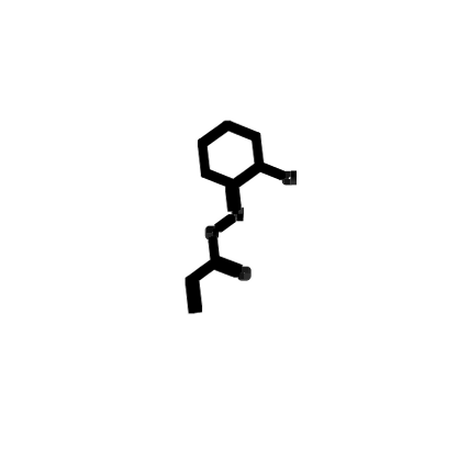 C=CC(=O)ON=C1CCCCC1Cl